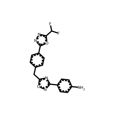 Nc1ccc(-c2noc(Cc3ccc(-c4nnc(C(F)F)o4)cc3)n2)cc1